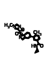 Cc1ccc(C(=O)NC2CC2)cc1-c1ccc2c(cnn2S(=O)(=O)c2cn(C)cn2)c1